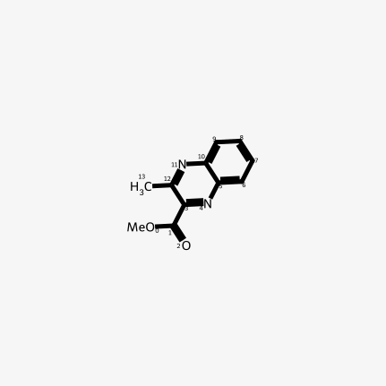 COC(=O)c1nc2ccccc2nc1C